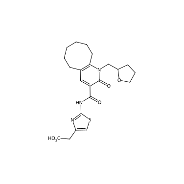 O=C(O)Cc1csc(NC(=O)c2cc3c(n(CC4CCCO4)c2=O)CCCCCC3)n1